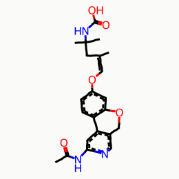 CC(=O)Nc1cc2c(cn1)COc1cc(OC=C(C)CC(C)(C)NC(=O)O)ccc1-2